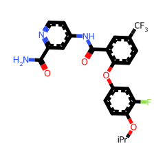 CC(C)Oc1ccc(Oc2ccc(C(F)(F)F)cc2C(=O)Nc2ccnc(C(N)=O)c2)cc1F